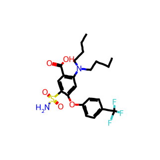 CCCCN(CCCC)c1cc(Oc2ccc(C(F)(F)F)cc2)c(S(N)(=O)=O)cc1C(=O)O